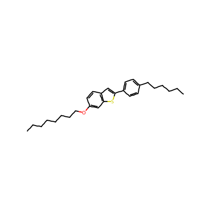 CCCCCCCCOc1ccc2cc(-c3ccc(CCCCCC)cc3)sc2c1